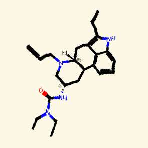 C=CCN1C[C@@H](NC(=O)N(CC)CC)CC2c3cccc4[nH]c(CC)c(c34)C[C@H]21